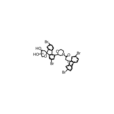 O=C(Cn1c2cc(Br)ccc2c2ccc(Br)cc21)N1CCOC(c2cc(Br)cc3c2-c2ccc(Br)cc2C32C[C@H](O)[C@H](O)CO2)C1